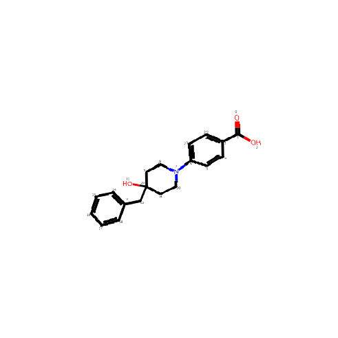 O=C(O)c1ccc(N2CCC(O)(Cc3ccccc3)CC2)cc1